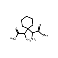 COC(=O)C(N)C1(C(N)C(=O)OC)CCCCC1